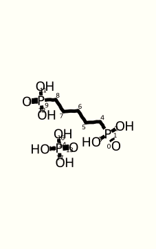 O=P(O)(O)CCCCCP(=O)(O)O.O=P(O)(O)O